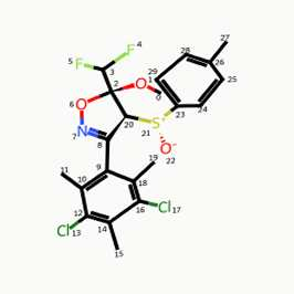 CO[C@]1(C(F)F)ON=C(c2c(C)c(Cl)c(C)c(Cl)c2C)[C@@H]1[S@@+]([O-])c1ccc(C)cc1